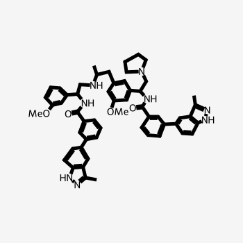 COc1cccc(C(CNC(C)Cc2cc(OC)cc(C(CN3CCCC3)NC(=O)c3cccc(-c4ccc5[nH]nc(C)c5c4)c3)c2)NC(=O)c2cccc(-c3ccc4[nH]nc(C)c4c3)c2)c1